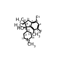 Cc1c(F)cc(F)c2c1C(O)(C1CCN(C)CC1)C(C)(C)C2